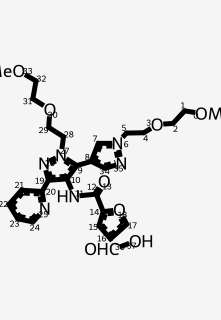 COCCOCCn1cc(-c2c(NC(=O)c3ccco3)c(-c3ccccn3)nn2CCOCCOC)cn1.O=CO